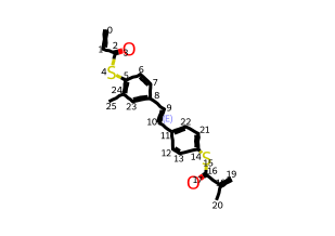 C=CC(=O)Sc1ccc(/C=C/c2ccc(SC(=O)C(=C)C)cc2)cc1C